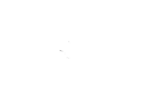 CCC1(OC(=O)N[C@@H](CC(C)C)C(=O)O)COCOC1